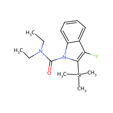 CCN(CC)C(=O)n1c([Si](C)(C)C)c(F)c2ccccc21